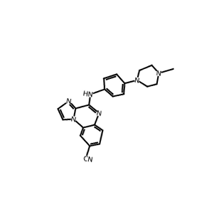 CN1CCN(c2ccc(Nc3nc4ccc(C#N)cc4n4ccnc34)cc2)CC1